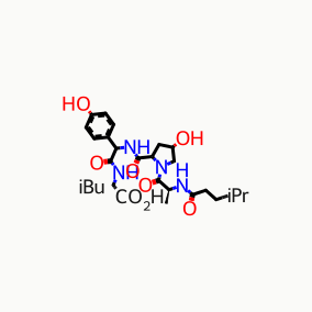 CC[C@H](C)C(NC(=O)C(NC(=O)C1CC(O)CN1C(=O)[C@H](C)NC(=O)CCC(C)C)c1ccc(O)cc1)C(=O)O